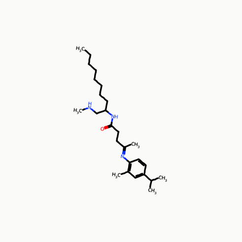 CCCCCCCCC(CNC)NC(=O)CC/C(C)=N/c1ccc(C(C)C)cc1C